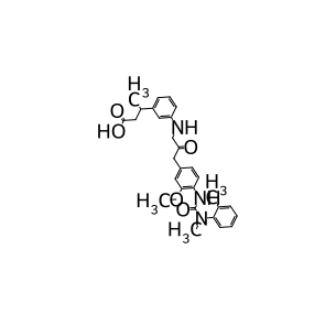 COc1cc(CC(=O)CNc2cccc(C(C)CC(=O)O)c2)ccc1NC(=O)N(C)c1ccccc1C